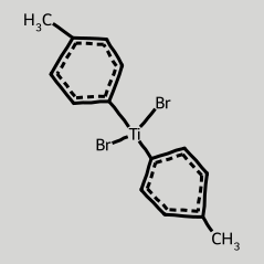 Cc1cc[c]([Ti]([Br])([Br])[c]2ccc(C)cc2)cc1